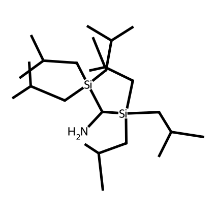 CC(C)C[Si](CC(C)C)(CC(C)C)C(N)[Si](CC(C)C)(CC(C)C)CC(C)C